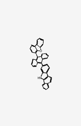 c1ccc2c(c1)ccc1c3ccc(-c4c5ccccc5c(-c5cccc6c5oc5ccccc56)c5ccccc45)cc3[nH]c21